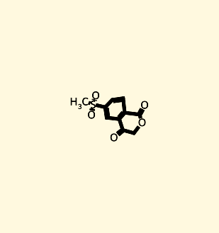 CS(=O)(=O)c1ccc2c(c1)C(=O)COC2=O